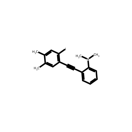 Cc1cc(I)c(C#Cc2ccccc2N(C)C)cc1C